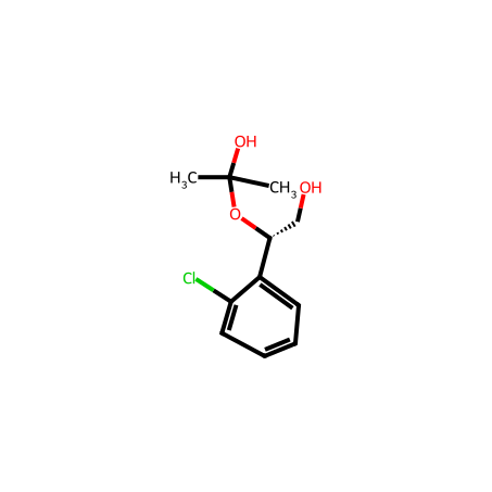 CC(C)(O)O[C@H](CO)c1ccccc1Cl